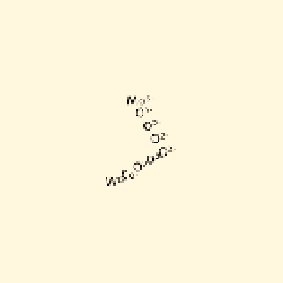 [Co].[Mo+6].[O-2].[O-2].[O-2].[O-2].[O-2].[O-2].[W+6]